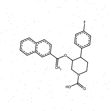 C=C(OC1CN(C(=O)O)CCC1c1ccc(F)cc1)c1ccc2ccccc2c1